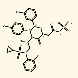 CC[C@@H](CN(c1ccccc1F)S(=O)(=O)C1CC1)N1C(=O)[C@H](CC(=O)NS(C)(=O)=O)O[C@H](c2cccc(Cl)c2)[C@H]1c1ccc(Cl)cc1